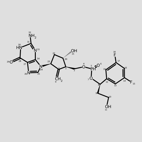 C=C1[C@H](CO[PH](=O)O[C@H](CCO)c2cc(F)cc(F)c2)[C@@H](O)C[C@@H]1n1cnc2c(=O)[nH]c(N)nc21